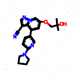 CC(C)(O)COc1cc(-c2ccc(N3CCCC3)nc2)c2c(C#N)cnn2c1